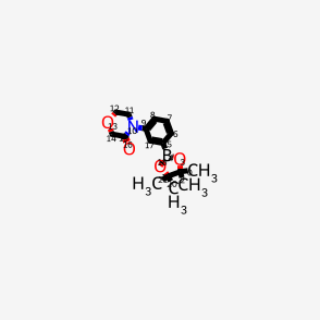 CC1(C)OB(c2cccc(N3CCOCC3=O)c2)OC1(C)C